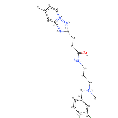 Cc1ccn2nc(CCC(=O)NCCCN(C)Cc3ccc(Cl)c(Cl)c3)nc2c1